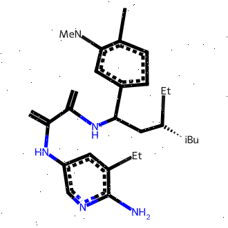 C=C(Nc1cnc(N)c(CC)c1)C(=C)NC(CC(CC)[C@@H](C)CC)c1ccc(C)c(NC)c1